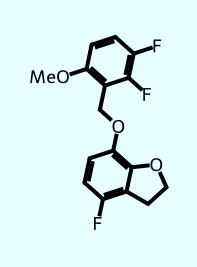 COc1ccc(F)c(F)c1COc1ccc(F)c2c1OCC2